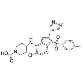 Cc1ccc(S(=O)(=O)n2c(-c3cnn(C)c3)cc3c(NC4CCN(C(=O)O)CC4)c(Cl)cnc32)cc1